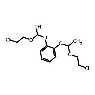 CC(OCCCl)Oc1ccccc1OC(C)OCCCl